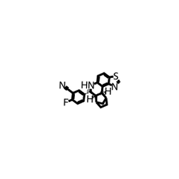 N#Cc1cc([C@@H]2Nc3ccc4scnc4c3[C@H]3C4CCC(C4)[C@@H]23)ccc1F